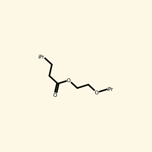 CC(C)CCC(=O)OCCOC(C)C